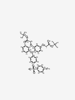 CC(C)(C)OC(=O)COc1ccc([S+](c2ccccc2)c2ccccc2)c(OCC(=O)OC(C)(C)C)c1.O=S(=O)([O-])c1ccc(F)cc1